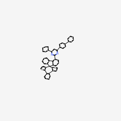 c1ccc(-c2ccc(-c3cc(-c4ccccc4)nc(-c4cccc5c4-c4ccccc4C54c5ccccc5-c5ccccc5-c5ccccc54)n3)cc2)cc1